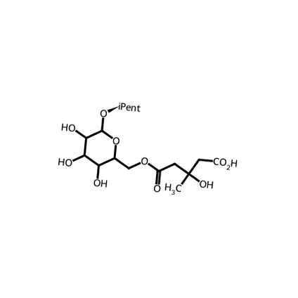 CCC[C@H](C)OC1OC(COC(=O)CC(C)(O)CC(=O)O)C(O)C(O)C1O